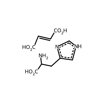 NC(Cc1c[nH]cn1)C(=O)O.O=C(O)/C=C/C(=O)O